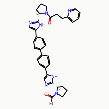 CCC(=O)N1CCC[C@H]1c1ncc(-c2ccc(-c3ccc(-c4cnc([C@@H]5CCCN5C(=O)CCc5ccccn5)[nH]4)cc3)cc2)[nH]1